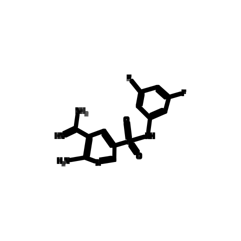 N=C(N)c1cc(S(=O)(=O)Nc2cc(F)cc(F)c2)cnc1N